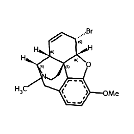 COc1ccc2c3c1O[C@H]1[C@@H](Br)C=C[C@H]4[C@@H](C2)N(C)CC[C@@]341